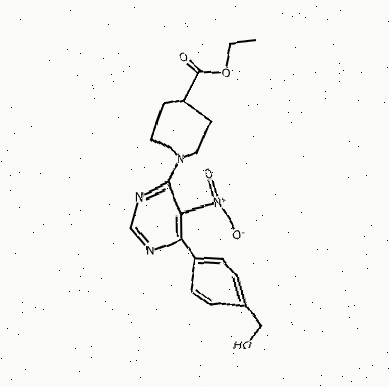 CCOC(=O)C1CCN(c2ncnc(-c3ccc(CO)cc3)c2[N+](=O)[O-])CC1